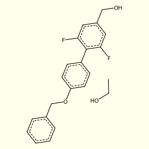 CCO.OCc1cc(F)c(-c2ccc(OCc3ccccc3)cc2)c(F)c1